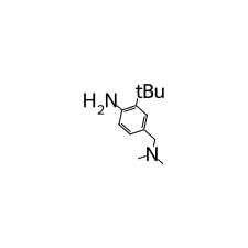 CN(C)Cc1ccc(N)c(C(C)(C)C)c1